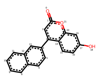 O=c1cc(-c2ccc3ccccc3c2)c2ccc(O)cc2o1